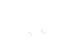 CCCCN1CCCCC1.CN